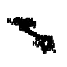 CCOc1cc(C(C)(C)C)ccc1C1=N[C@](C)(c2ccc(Cl)cc2)[C@](C)(c2ccc(Cl)cc2)N1C(=O)N1CCN(CCOCCOCCC(=O)NCCN2C[C@H](C)Oc3ccc(F)cc3[C@H](C)Nc3ccn4ncc(c4n3)C2=O)CC1